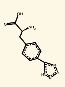 N[C@@H](Cc1ccc(-c2nnn[nH]2)cc1)C(=O)O